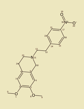 COc1cc2c(cc1OC)CN(CCc1ccc([N+](=O)[O-])cc1)CC2